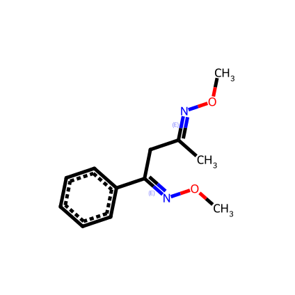 CO/N=C(\C)C/C(=N\OC)c1ccccc1